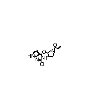 C=CC(=O)N1CC[C@H](F)[C@H](Oc2nc(Cl)nc3[nH]ccc23)C1